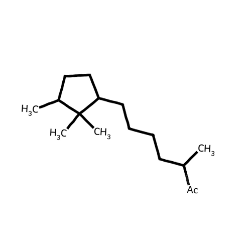 CC(=O)C(C)CCCCC1CCC(C)C1(C)C